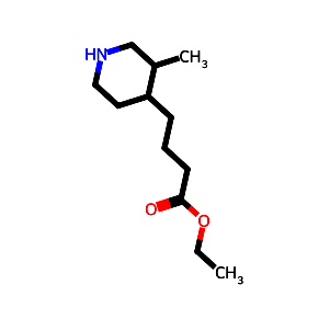 CCOC(=O)CCCC1CCNCC1C